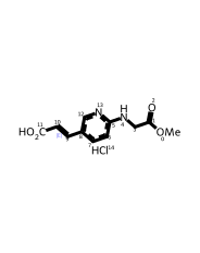 COC(=O)CNc1ccc(/C=C/C(=O)O)cn1.Cl